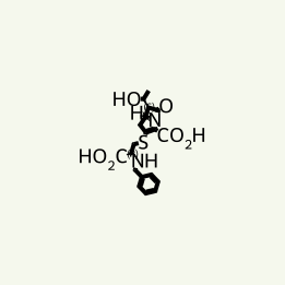 CC(O)[C@H]1C(=O)N2C(C(=O)O)=C(SC[C@H](NCc3ccccc3)C(=O)O)C[C@H]12